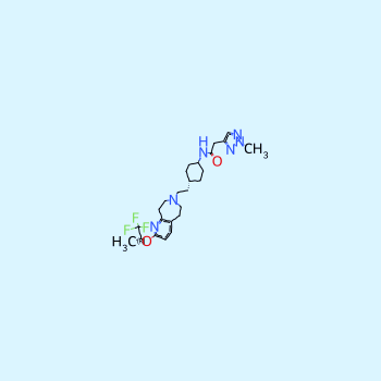 C[C@@H](Oc1ccc2c(n1)CCN(CC[C@H]1CC[C@H](NC(=O)Cc3cnn(C)n3)CC1)CC2)C(F)(F)F